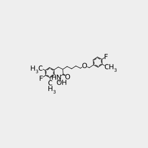 Cc1cc(COCCCCC(Cc2cc(C)c(F)c(C)c2)C(=O)NO)ccc1F